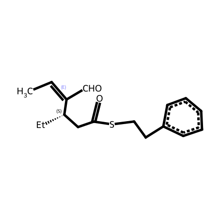 C/C=C(/C=O)[C@@H](CC)CC(=O)SCCc1ccccc1